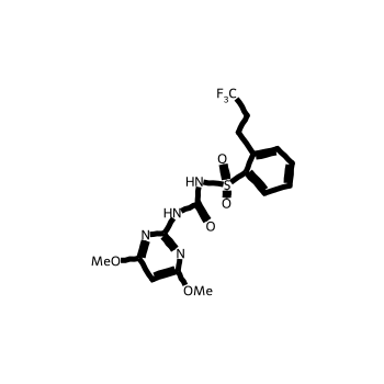 COc1cc(OC)nc(NC(=O)NS(=O)(=O)c2ccccc2CCC(F)(F)F)n1